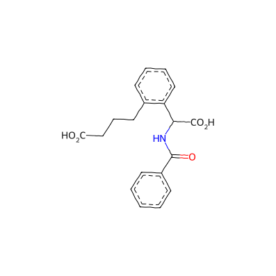 O=C(O)CCCc1ccccc1C(NC(=O)c1ccccc1)C(=O)O